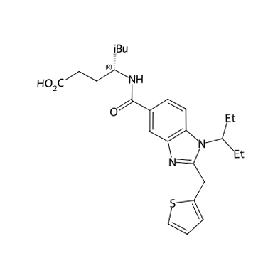 CCC(C)[C@@H](CCC(=O)O)NC(=O)c1ccc2c(c1)nc(Cc1cccs1)n2C(CC)CC